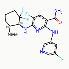 CN[C@H]1CCCC(F)(F)[C@H]1Nc1nc(Nc2cncc(F)c2)c(C(N)=O)cc1F